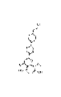 COC1=c2oc(-c3ccc(N4CCN(CCO)CC4)cc3)cc(=O)c2=C(O)CC=C1O